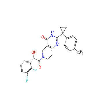 O=C(C(O)c1cccc(F)c1F)N1CCc2nc(C3(c4ccc(C(F)(F)F)cc4)CC3)[nH]c(=O)c2C1